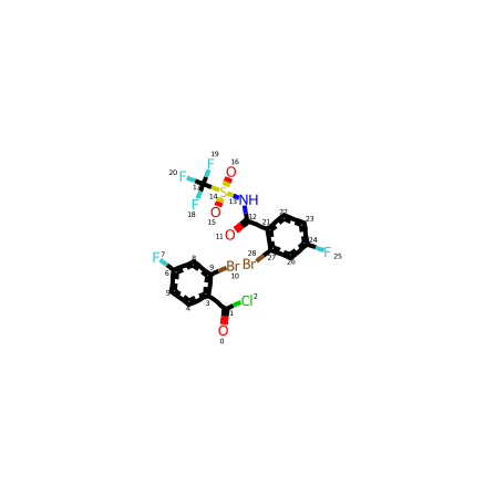 O=C(Cl)c1ccc(F)cc1Br.O=C(NS(=O)(=O)C(F)(F)F)c1ccc(F)cc1Br